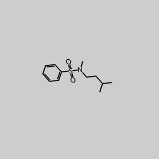 CC(C)CCN(C)S(=O)(=O)c1ccccc1